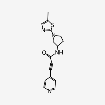 Cc1cnc(N2CCC(NC(=O)C#Cc3ccncc3)C2)s1